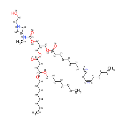 CCCCC/C=C\C/C=C\CCCCCCCC(=O)OCC(COC(=O)CCC(OCCCCCCCC)OCCCCCCCC)COC(=O)N(C)C1CN(CCO)C1